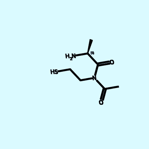 CC(=O)N(CCS)C(=O)[C@H](C)N